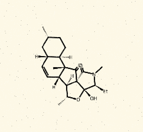 CC[C@@H]1N(C)C(=O)[C@@]23C(=O)[C@@]4(C)[C@@H]5CC[C@@H](C)C[C@H]5C=C[C@H]4[C@@H]2[C@@H](C)O[C@@]13O